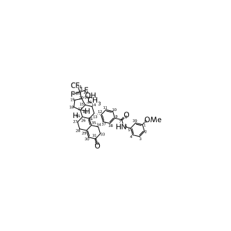 COc1cccc(NC(=O)c2ccc([C@H]3C[C@@]4(C)[C@@H](CC[C@@]4(O)C(F)(F)C(F)(F)F)[C@@H]4CCC5=CC(=O)CCC5=C43)cc2)c1